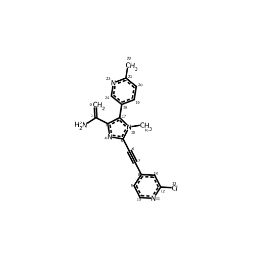 C=C(N)c1nc(C#Cc2ccnc(Cl)c2)n(C)c1-c1ccc(C)nc1